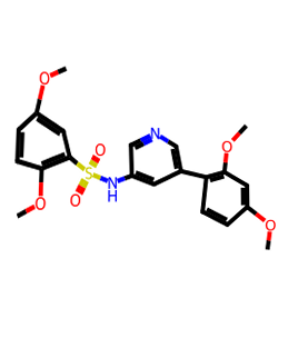 COc1ccc(-c2cncc(NS(=O)(=O)c3cc(OC)ccc3OC)c2)c(OC)c1